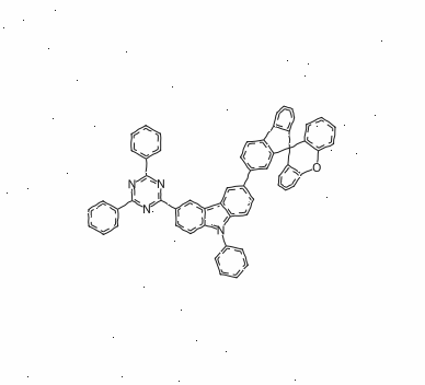 c1ccc(-c2nc(-c3ccccc3)nc(-c3ccc4c(c3)c3cc(-c5ccc6c(c5)C5(c7ccccc7Oc7ccccc75)c5ccccc5-6)ccc3n4-c3ccccc3)n2)cc1